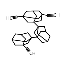 C#CC12CC3CC(C1)CC(C14CC5CC(C1)CC(C16CC7CC(C#C)(CC(C#C)(C7)C1)C6)(C5)C4)(C3)C2